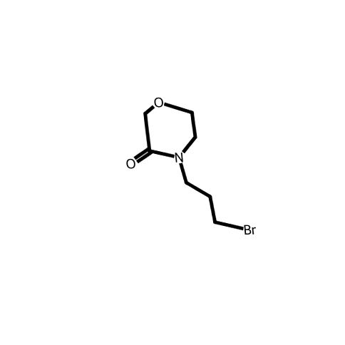 O=C1COCCN1CCCBr